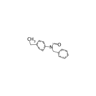 CCc1ccc(N([C]=O)Cc2ccccc2)cc1